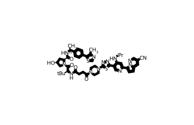 Cc1ncsc1-c1ccc([C@H](C)NC(=O)[C@@H]2C[C@@H](O)CN2C(=O)[C@@H](NC(=O)CCC(=O)N2CCN(c3nnc(-c4cnc(-c5ccc6cc(C#N)cnn56)cc4NC(C)C)s3)CC2)C(C)(C)C)cc1